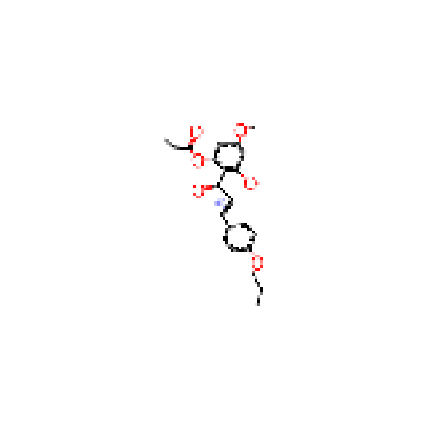 CCCOc1ccc(/C=C/C(=O)c2c(OC)cc(OC)cc2OC(=O)CC)cc1